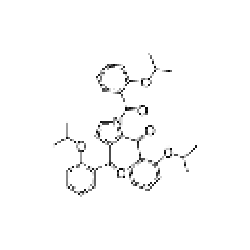 CC(C)Oc1ccccc1C(=O)c1ccn(C(=O)c2ccccc2OC(C)C)c1C(=O)c1ccccc1OC(C)C